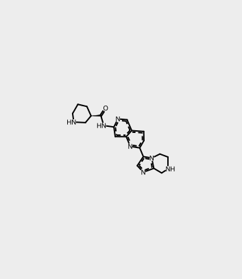 O=C(Nc1cc2nc(-c3cnc4n3CCNC4)ccc2cn1)[C@@H]1CCCNC1